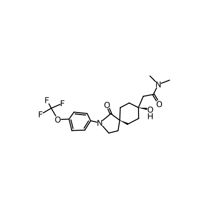 CN(C)C(=O)C[C@]1(O)CC[C@]2(CCN(c3ccc(OC(F)(F)F)cc3)C2=O)CC1